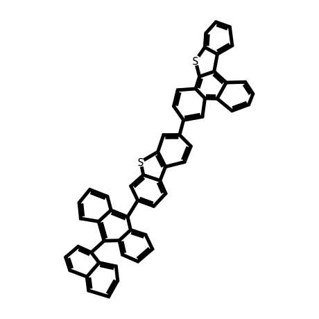 c1ccc2c(-c3c4ccccc4c(-c4ccc5c(c4)sc4cc(-c6ccc7c(c6)c6ccccc6c6c8ccccc8sc76)ccc45)c4ccccc34)cccc2c1